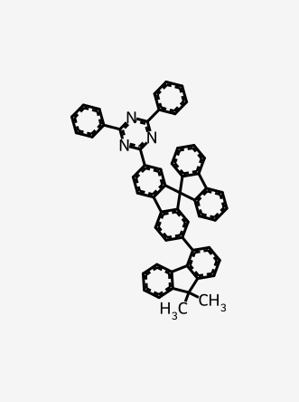 CC1(C)c2ccccc2-c2c(-c3ccc4c(c3)C3(c5ccccc5-c5ccccc53)c3cc(-c5nc(-c6ccccc6)nc(-c6ccccc6)n5)ccc3-4)cccc21